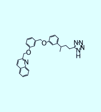 CC(CCc1nnn[nH]1)c1cccc(OCc2cccc(OCc3ccc4ccccc4n3)c2)c1